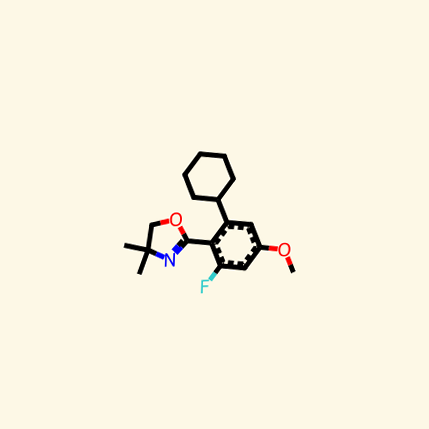 COc1cc(F)c(C2=NC(C)(C)CO2)c(C2CCCCC2)c1